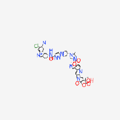 CC[C@@]1(O)C(=O)OCc2c1cc1n(c2=O)Cc2cc3c(CN(C)C)c(OC(=O)N4C[C@H](C)N(CC5CCN(c6ccc(C(=O)NC7CCC(/C=[N+](/C)c8ccc(C#N)c(Cl)c8)CC7)nn6)CC5)C[C@H]4C)ccc3nc2-1